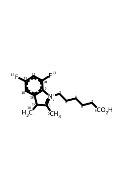 CC1=[N+](CCCCCC(=O)O)c2c(F)cc(F)cc2C1C